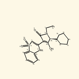 CC(C)CN1C(=O)C(C2=CS(=O)(=O)c3ccccc3N2)=C(O)[C@@H]1C1CCCCC1